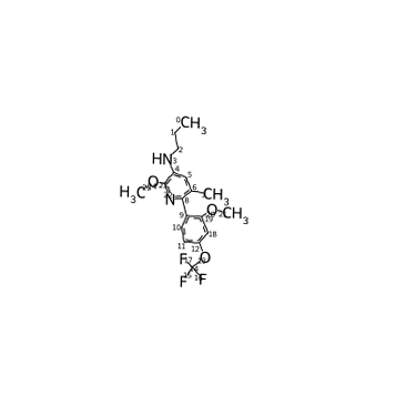 CCCNc1cc(C)c(-c2ccc(OC(F)(F)F)cc2OC)nc1OC